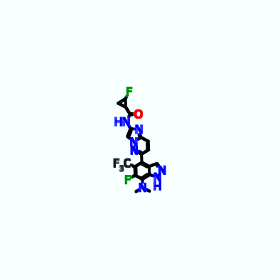 CN(C)c1c(F)c(C(F)(F)F)c(-c2ccc3nc(NC(=O)C4CC4F)cn3n2)c2cn[nH]c12